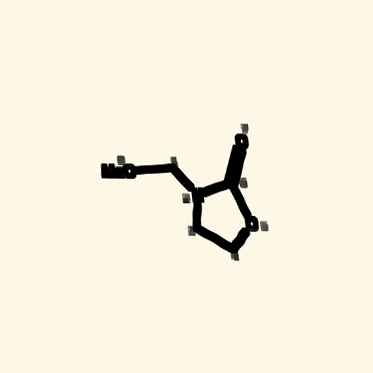 COCN1CCOC1=O